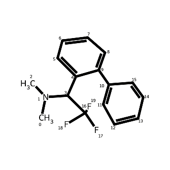 CN(C)C(c1ccccc1-c1ccccc1)C(F)(F)F